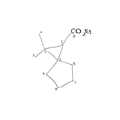 CCOC(=O)C1C(C)(C)C12CCCC2